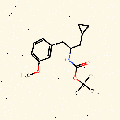 COc1cccc(CC(CC2CC2)NC(=O)OC(C)(C)C)c1